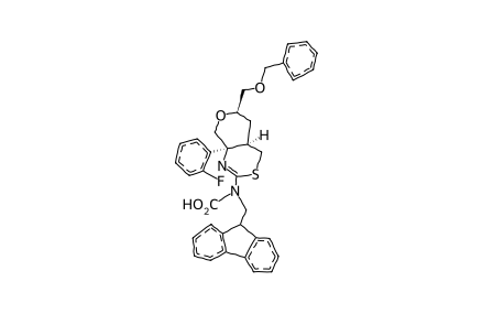 O=C(O)N(CC1c2ccccc2-c2ccccc21)C1=N[C@@]2(c3ccccc3F)CO[C@@H](COCc3ccccc3)C[C@H]2CS1